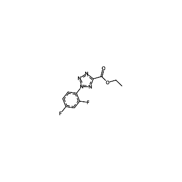 CCOC(=O)c1nnn(-c2ccc(F)cc2F)n1